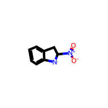 O=[N+]([O-])C1Cc2ccccc2[N]1